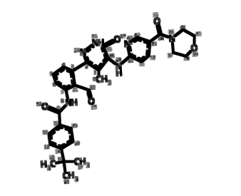 Cc1c(-c2cccc(NC(=O)c3ccc(C(C)(C)C)cc3)c2C=O)n[nH]c(=O)c1Nc1ccc(C(=O)N2CCOCC2)cn1